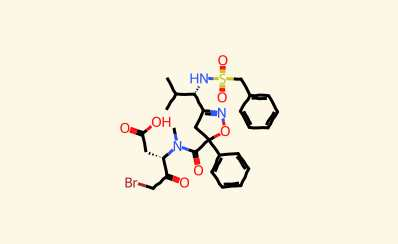 CC(C)[C@H](NS(=O)(=O)Cc1ccccc1)C1=NOC(C(=O)N(C)[C@@H](CC(=O)O)C(=O)CBr)(c2ccccc2)C1